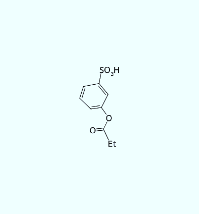 CCC(=O)Oc1cccc(S(=O)(=O)O)c1